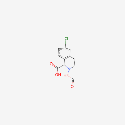 O=CBN1CCc2cc(Cl)ccc2C1C(=O)O